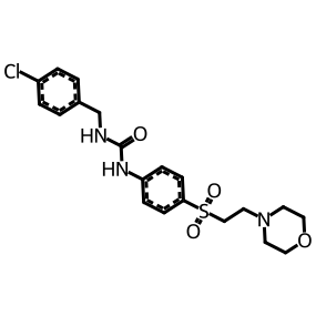 O=C(NCc1ccc(Cl)cc1)Nc1ccc(S(=O)(=O)CCN2CCOCC2)cc1